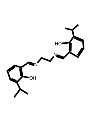 CC(C)c1cccc(C=NCCN=Cc2cccc(C(C)C)c2O)c1O